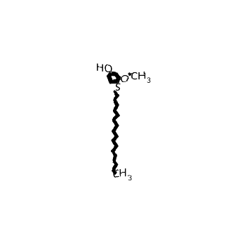 CCCCCCCCCCCCCCCCCCSc1ccc(O)cc1OCC